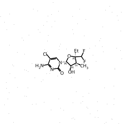 CC[C@@]1(C(F)F)O[C@@H](n2cc(Cl)c(N)nc2=O)[C@H](O)[C@@H]1C